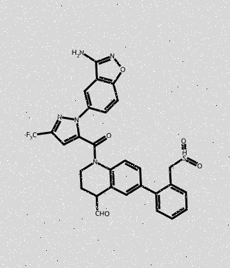 Nc1noc2ccc(-n3nc(C(F)(F)F)cc3C(=O)N3CCC(C=O)c4cc(-c5ccccc5C[SH](=O)=O)ccc43)cc12